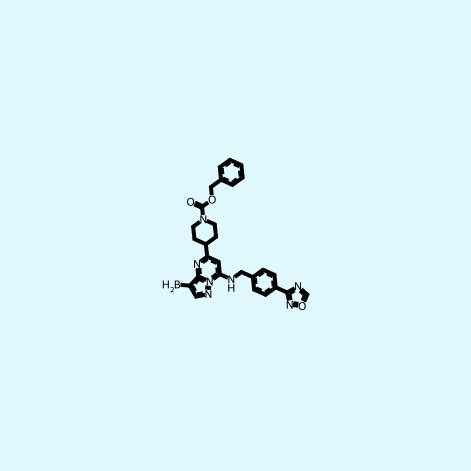 Bc1cnn2c(NCc3ccc(-c4ncon4)cc3)cc(C3CCN(C(=O)OCc4ccccc4)CC3)nc12